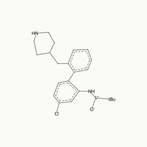 CC(C)(C)[S+]([O-])Nc1cc(Cl)ccc1-c1ccccc1CC1CCNCC1